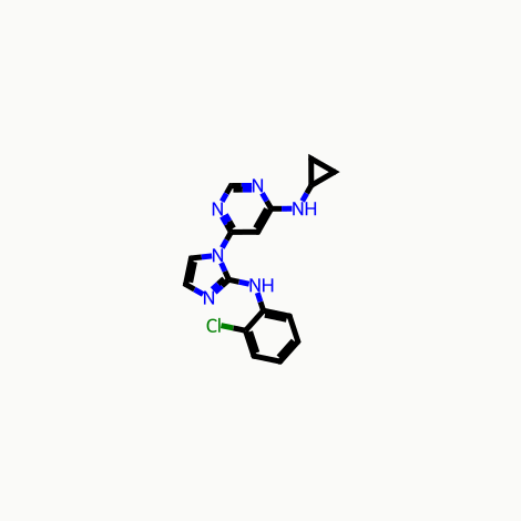 Clc1ccccc1Nc1nccn1-c1cc(NC2CC2)ncn1